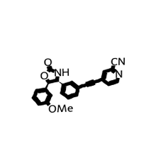 COc1cccc([C@H]2OC(=O)N[C@@H]2c2cccc(C#Cc3ccnc(C#N)c3)c2)c1